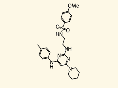 COc1ccc(S(=O)(=O)NCCNc2nc(Nc3ccc(C)cc3)cc(N3CCCCC3)n2)cc1